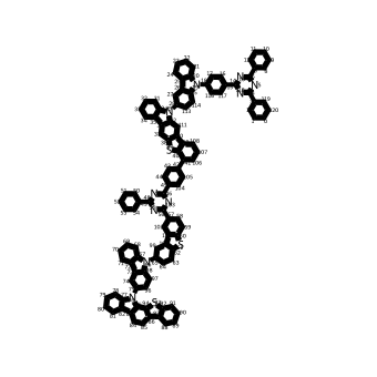 c1ccc(-c2nc(-c3ccccc3)nc(-c3ccc(-n4c5ccccc5c5cc(-n6c7ccccc7c7cc8sc9c(-c%10ccc(-c%11nc(-c%12ccccc%12)nc(-c%12ccc%13sc%14ccc(-n%15c%16ccccc%16c%16cc(-n%17c%18ccccc%18c%18ccc%19c%20ccccc%20sc%19c%18%17)ccc%16%15)cc%14c%13c%12)n%11)cc%10)cccc9c8cc76)ccc54)cc3)n2)cc1